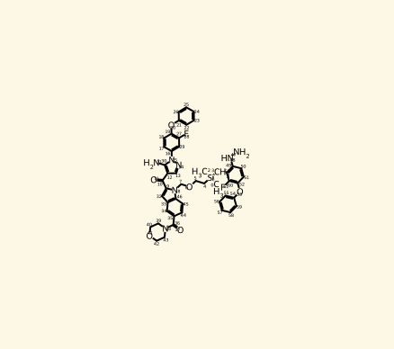 C[Si](C)(C)CCOCn1c(C(=O)c2cnn(-c3ccc(Oc4ccccc4)c(F)c3)c2N)cc2cc(C(=O)N3CCOCC3)ccc21.NNc1ccc(Oc2ccccc2)c(F)c1